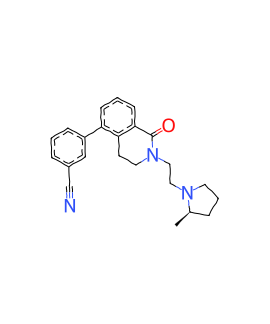 C[C@@H]1CCCN1CCN1CCc2c(cccc2-c2cccc(C#N)c2)C1=O